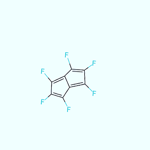 FC1=C(F)C2=C(F)C(F)=C(F)C2=C1F